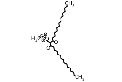 CCCCCCCCCCCCCCCC(=O)C(COS(=O)(=O)OC)C(=O)CCCCCCCCCCCCCCC